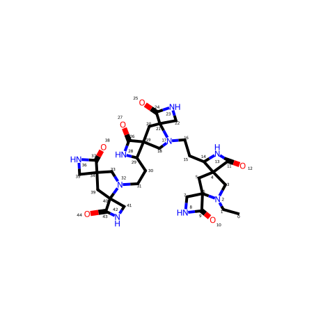 CCN1CC2(CC13CNC3=O)C(=O)NC2CCN1CC2(CC13CNC3=O)C(=O)NC2CCN1CC2(CNC2=O)CC12CNC2=O